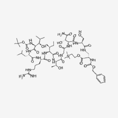 CC[C@H](C)[C@H](NC(=O)[C@@H](CCCNC(=N)N)NC(=O)[C@H](CC(C)C)NC(=O)[C@@H](NC(=O)OC(C)(C)C)[C@H](O)C(C)C)C(=O)N[C@H](C(=O)NCC(=O)N[C@H](C(=O)N[C@@H](CO)C(=O)NC[C@H](NC(=O)OCc1ccccc1)C(=O)OCC[Si](C)(C)C)[C@H](O)C(N)=O)[C@H](C)O